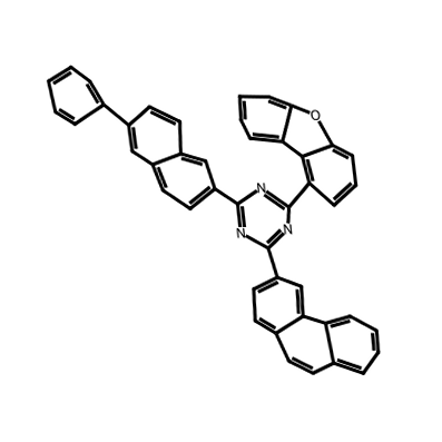 c1ccc(-c2ccc3cc(-c4nc(-c5ccc6ccc7ccccc7c6c5)nc(-c5cccc6oc7ccccc7c56)n4)ccc3c2)cc1